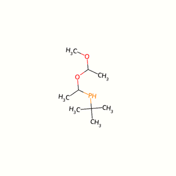 COC(C)OC(C)PC(C)(C)C